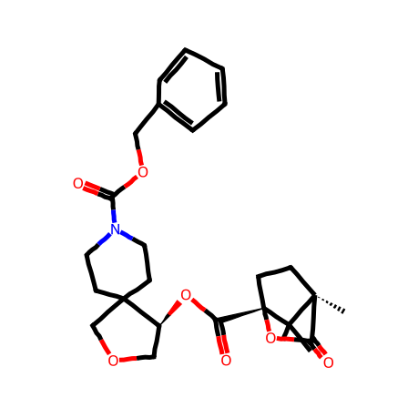 CC1(C)[C@@]2(C)CC[C@@]1(C(=O)O[C@H]1COCC13CCN(C(=O)OCc1ccccc1)CC3)OC2=O